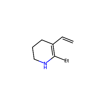 C=CC1=C(CC)NCCC1